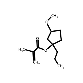 C=C(C)C(=O)OC1(CCC)CCC(OC)C1